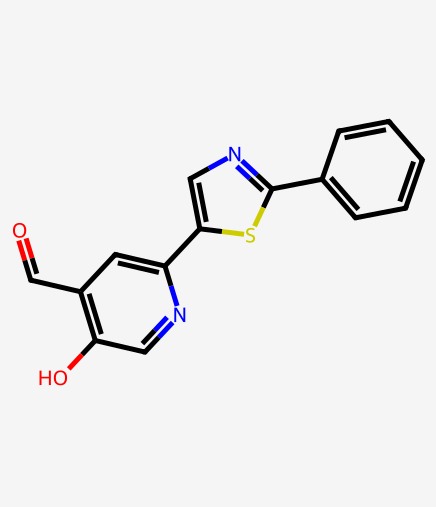 O=Cc1cc(-c2cnc(-c3ccccc3)s2)ncc1O